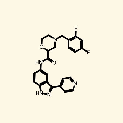 O=C(Nc1ccc2[nH]nc(-c3ccncc3)c2c1)C1CN(Cc2ccc(F)cc2F)CCO1